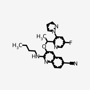 CCCCNc1nc2ccc(C#N)cc2cc1OC(C)c1ncc(F)cc1-n1cccn1